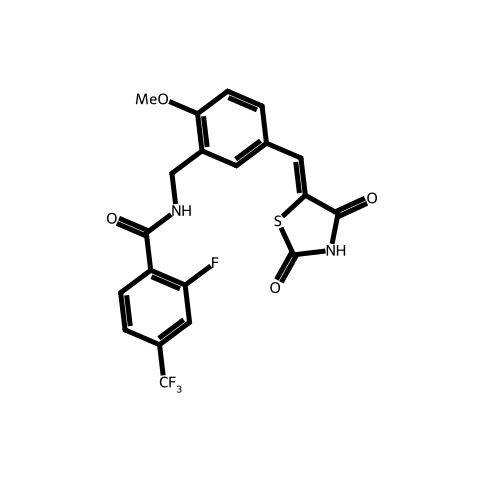 COc1ccc(/C=C2\SC(=O)NC2=O)cc1CNC(=O)c1ccc(C(F)(F)F)cc1F